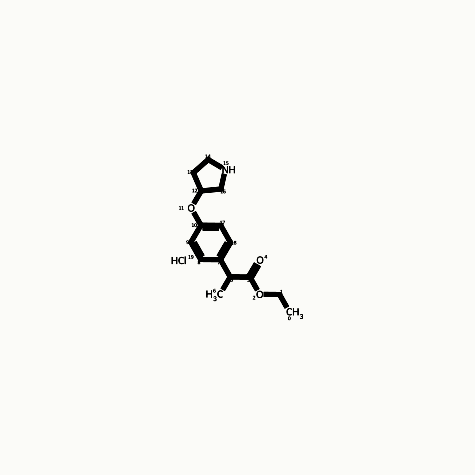 CCOC(=O)C(C)c1ccc(OC2CCNC2)cc1.Cl